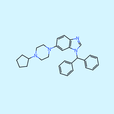 c1ccc(C(c2ccccc2)n2cnc3ccc(N4CCN(C5CCCC5)CC4)cc32)cc1